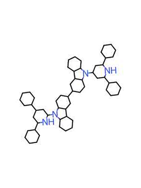 C1CCC(C2CC(C3CCCCC3)NC(N3C4CCCCC4C4CC(C5CCC6C(C5)C5CCCCC5N6C5CC(C6CCCCC6)NC(C6CCCCC6)C5)CCC43)C2)CC1